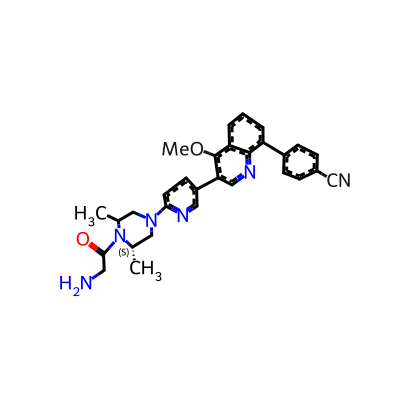 COc1c(-c2ccc(N3CC(C)N(C(=O)CN)[C@@H](C)C3)nc2)cnc2c(-c3ccc(C#N)cc3)cccc12